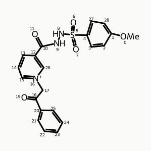 COc1ccc(S(=O)(=O)NNC(=O)c2ccc[n+](CC(=O)c3ccccc3)c2)cc1